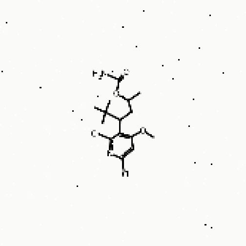 COc1cc(Cl)nc(Cl)c1C(CC(C)OC(N)=O)C(C)(C)C